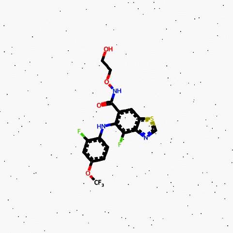 O=C(NOCCO)c1cc2scnc2c(F)c1Nc1ccc(OC(F)(F)F)cc1F